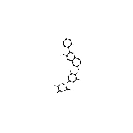 Cc1cc2cc(Oc3c(Cl)cc(-n4nc(N)c(=O)[nH]c4=O)cc3Cl)ccc2nc1-c1ccccc1